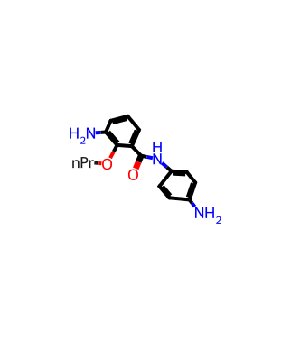 CCCOc1c(N)cccc1C(=O)Nc1ccc(N)cc1